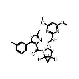 COc1cc(OC)nc(NC[C@@H]2C[C@@H]3C[C@@H]3N2C(=O)c2nc(C)sc2-c2cccc(C)c2)n1